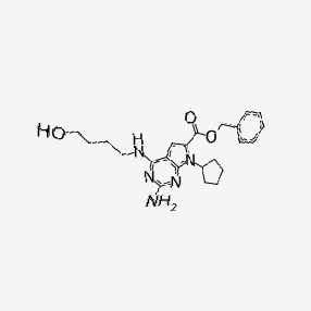 Nc1nc(NCCCCO)c2cc(C(=O)OCc3ccccc3)n(C3CCCC3)c2n1